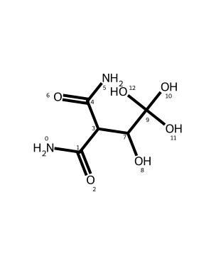 NC(=O)C(C(N)=O)C(O)C(O)(O)O